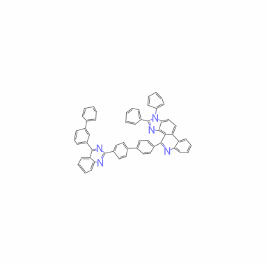 c1ccc(-c2cccc(-c3nc(-c4ccc(-c5ccc(-c6nc7ccccc7c7ccc8c(nc(-c9ccccc9)n8-c8ccccc8)c67)cc5)cc4)nc4ccccc34)c2)cc1